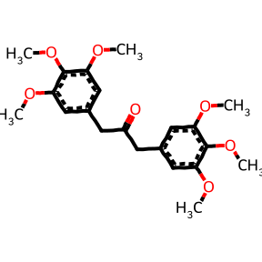 COc1cc(CC(=O)Cc2cc(OC)c(OC)c(OC)c2)cc(OC)c1OC